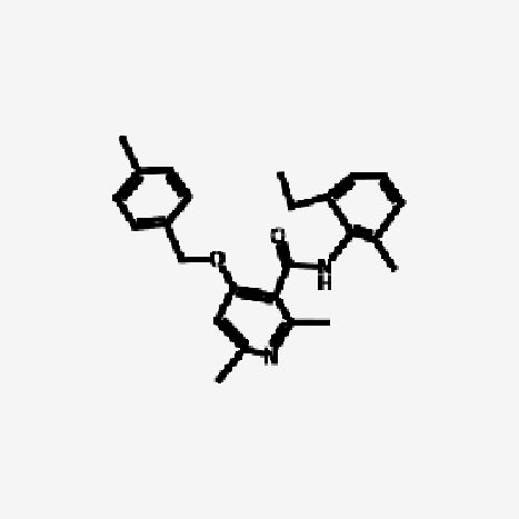 CCc1cccc(C)c1NC(=O)c1c(OCc2ccc(C)cc2)cc(C)nc1C